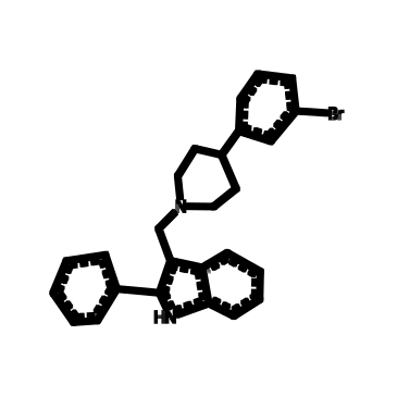 Brc1cccc(C2CCN(Cc3c(-c4ccccc4)[nH]c4ccccc34)CC2)c1